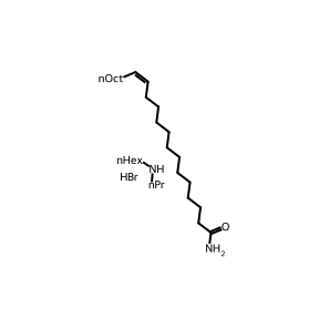 Br.CCCCCCCC/C=C\CCCCCCCCCCCC(N)=O.CCCCCCNCCC